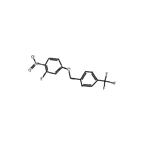 O=[N+]([O-])c1ccc(OCc2ccc(C(F)(F)F)cc2)cc1F